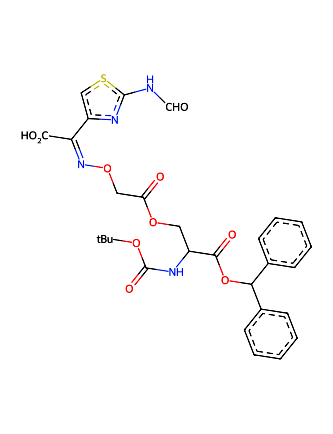 CC(C)(C)OC(=O)NC(COC(=O)CON=C(C(=O)O)c1csc(NC=O)n1)C(=O)OC(c1ccccc1)c1ccccc1